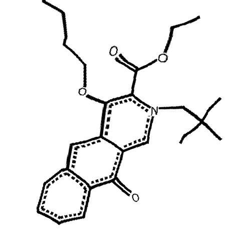 CCCCOc1c2cc3ccccc3c(=O)c-2cn(CC(C)(C)C)c1C(=O)OCC